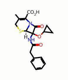 CC1=C(C(=O)O)N2C(=O)C(NC(=O)Cc3ccccc3)(OC3CC3)[C@H]2SC1